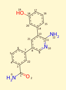 NC(=O)c1cccc(-c2cnc(N)c(-c3cccc(O)c3)c2)c1